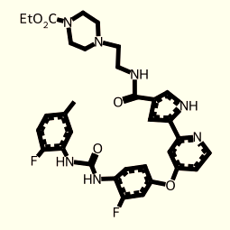 CCOC(=O)N1CCN(CCNC(=O)c2c[nH]c(-c3cc(Oc4ccc(NC(=O)Nc5cc(C)ccc5F)c(F)c4)ccn3)c2)CC1